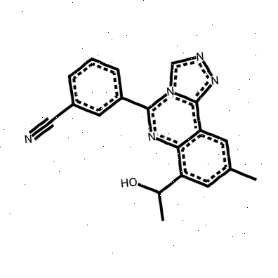 Cc1cc(C(C)O)c2nc(-c3cccc(C#N)c3)n3cnnc3c2c1